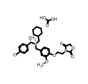 COc1cc(CN(CC2CCCCC2)[C@@H](C)c2ccc(Cl)cc2)ccc1OCCN1C(=O)COC1=O.O=C(O)O